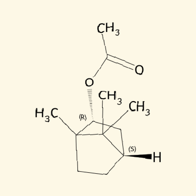 CC(=O)O[C@@H]1C[C@@H]2CCC1(C)C2(C)C